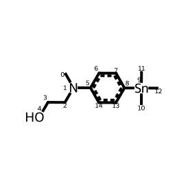 CN(CCO)c1cc[c]([Sn]([CH3])([CH3])[CH3])cc1